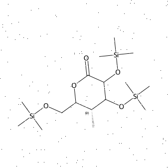 C[C@@H]1C(CO[Si](C)(C)C)OC(=O)C(O[Si](C)(C)C)C1O[Si](C)(C)C